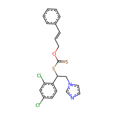 S=C(OCC=Cc1ccccc1)SC(Cn1ccnc1)c1ccc(Cl)cc1Cl